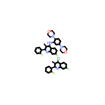 Cc1c(-c2ccccc2F)nc2cc(F)ccc2c1Cl.Cc1c(-c2ccccc2F)nc2cc(F)ccc2c1Nc1cc(N2CCOCC2)ccc1N1CCOCC1